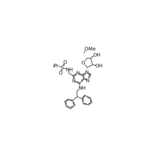 COC[C@H]1O[C@@H](n2cnc3c(NCC(c4ccccc4)c4ccccc4)nc(CNS(=O)(=O)C(C)C)nc32)[C@H](O)[C@@H]1O